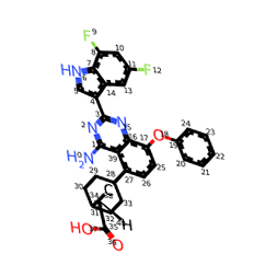 Nc1nc(-c2c[nH]c3c(F)cc(F)cc23)nc2c(Oc3ccccc3)ccc(C34CCC(CC3)[C@@H](C(=O)O)C4)c12